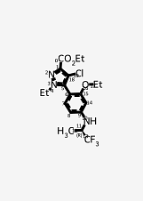 CCOC(=O)c1nn(CC)c(-c2ccc(N[C@H](C)C(F)(F)F)cc2OCC)c1Cl